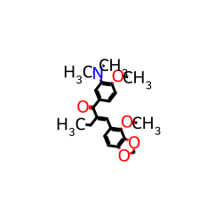 CC/C(=C\c1ccc2c(c1OC)OCO2)C(=O)c1ccc(OC)c(N(C)C)c1